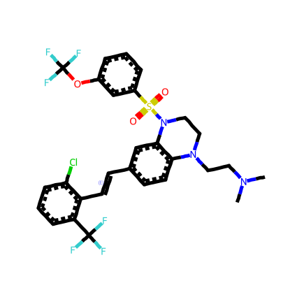 CN(C)CCN1CCN(S(=O)(=O)c2cccc(OC(F)(F)F)c2)c2cc(/C=C/c3c(Cl)cccc3C(F)(F)F)ccc21